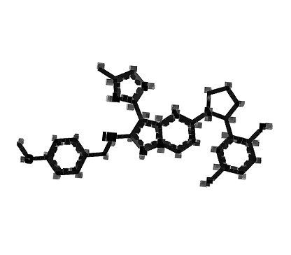 COc1ccc(CNc2nn3ccc(N4CCCC4c4cc(F)ccc4F)nc3c2-c2nc(C)cs2)cc1